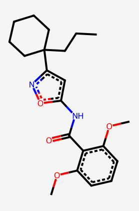 CCCC1(c2cc(NC(=O)c3c(OC)cccc3OC)on2)CCCCC1